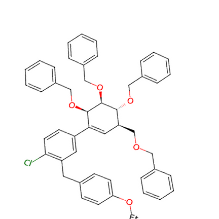 CCOc1ccc(Cc2cc(C3=C[C@H](COCc4ccccc4)[C@@H](OCc4ccccc4)[C@H](OCc4ccccc4)[C@@H]3OCc3ccccc3)ccc2Cl)cc1